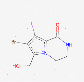 O=C1NCCn2c(CO)c(Br)c(I)c21